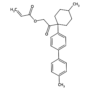 C=CC(=O)OCC(=O)C1(c2ccc(-c3ccc(C)cc3)cc2)CCC(C)CC1